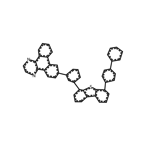 c1ccc(-c2ccc(-c3cccc4c3sc3c(-c5cccc(-c6ccc7c(c6)c6ccccc6c6nccnc76)c5)cccc34)cc2)cc1